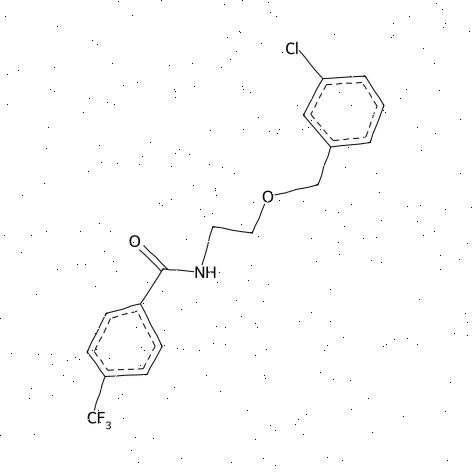 O=C(NCCOCc1cccc(Cl)c1)c1ccc(C(F)(F)F)cc1